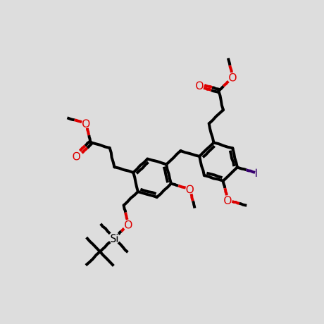 COC(=O)CCc1cc(Cc2cc(OC)c(I)cc2CCC(=O)OC)c(OC)cc1CO[Si](C)(C)C(C)(C)C